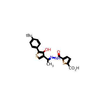 CC(=NNC(=O)c1ccc(C(=O)O)s1)c1csc(-c2ccc(C(C)(C)C)cc2)c1O